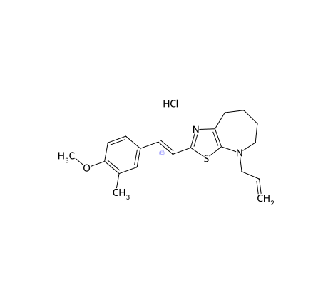 C=CCN1CCCCc2nc(/C=C/c3ccc(OC)c(C)c3)sc21.Cl